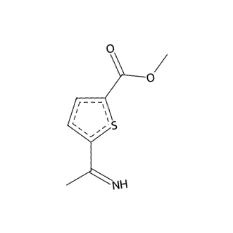 COC(=O)c1ccc(C(C)=N)s1